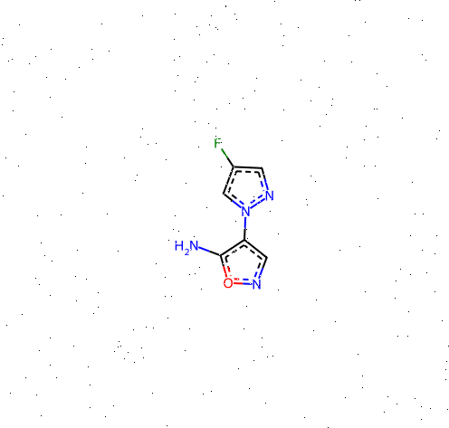 Nc1oncc1-n1cc(F)cn1